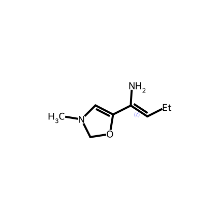 CC/C=C(\N)C1=CN(C)CO1